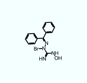 N=C(NO)N(Br)N=C(c1ccccc1)c1ccccc1